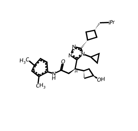 Cc1ccc(NC(=O)C[C@@H](c2nnc([C@H]3C[C@@H](CC(C)C)C3)n2C2CC2)[C@H]2C[C@H](O)C2)c(C)c1